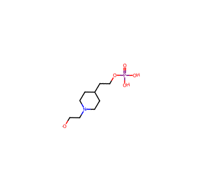 [O]CCN1CCC(CCOP(=O)(O)O)CC1